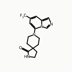 O=C1NCCC12CCN(c1cc(C(F)(F)F)cc3cncn13)CC2